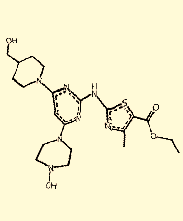 CCOC(=O)c1sc(Nc2nc(N3CCC(CO)CC3)cc(N3CCN(O)CC3)n2)nc1C